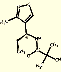 CC[C@H](N[S+]([O-])C(C)(C)C)c1conc1C